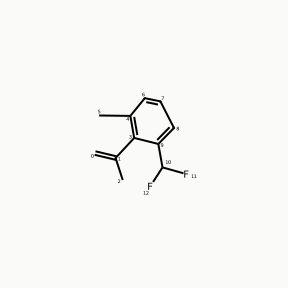 C=C(C)c1c(C)cccc1C(F)F